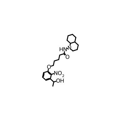 CC(O)c1cccc(OCCCCC(=O)NN2CCCC3CCCCC32)c1[N+](=O)[O-]